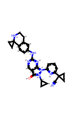 N#CC1(c2cccc(-n3c4nc(Nc5ccc6c(c5)CCNC65CC5)ncc4c(=O)n3C3CC3)n2)CC1